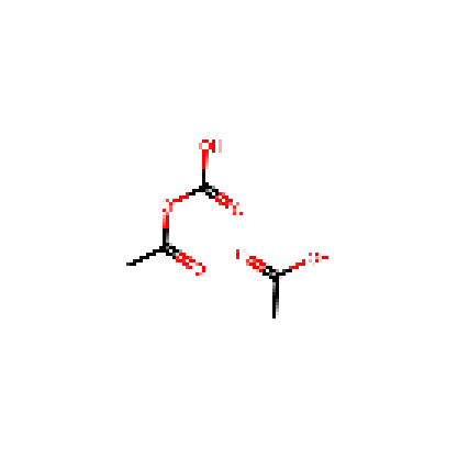 CC(=O)O.CC(=O)OC(=O)O